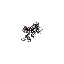 CC1(C(COC(=O)C2CCCC(OCOCC(COC(=O)C3CCCCC3C(=O)OCC(=O)OC3C4CC5C(=O)OC3C5C4)(COC(=O)C3CCCCC3C(=O)OCC(=O)OC3C4CC5C(=O)OC3C5C4)COC(=O)C3CCCCC3C(=O)OCC(OO)C3(C)C4CC5CC(C4)CC3C5)C2)OO)C2CC3CC(C2)CC1C3